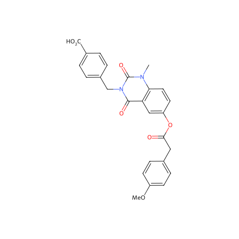 COc1ccc(CC(=O)Oc2ccc3c(c2)c(=O)n(Cc2ccc(C(=O)O)cc2)c(=O)n3C)cc1